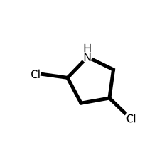 ClC1CNC(Cl)C1